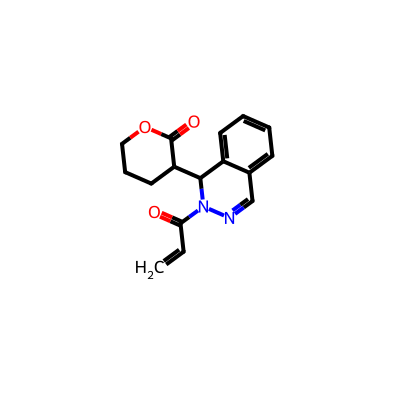 C=CC(=O)N1N=Cc2ccccc2C1C1CCCOC1=O